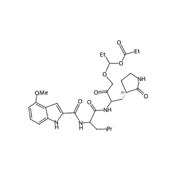 CCC(=O)OC(CC)OCC(=O)C(C[C@@H]1CCNC1=O)NC(=O)C(CC(C)C)NC(=O)c1cc2c(OC)cccc2[nH]1